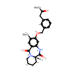 COC(=O)Cc1cccc(COc2cc3c(cc2OC)C(=O)N2CCCC[C@H]2C(=O)N3)c1